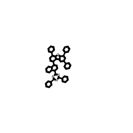 c1ccc(-c2cc(-c3ccccc3)c3sc4c(-c5ccccc5)ccc(-c5ccc(-c6nc(-c7ccccc7)nc(-c7ccccc7)n6)c6ccccc56)c4c3c2)cc1